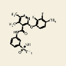 Cc1ccc(Oc2nnc(C(F)(F)F)c(C)c2C(=O)Nc2cccc(S(C)(=N)=O)c2)c(F)c1F